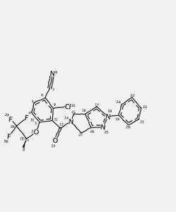 C[C@H](Oc1ccc(C#N)c(Cl)c1C(=O)N1Cc2cn(-c3ccccc3)nc2C1)C(F)(F)F